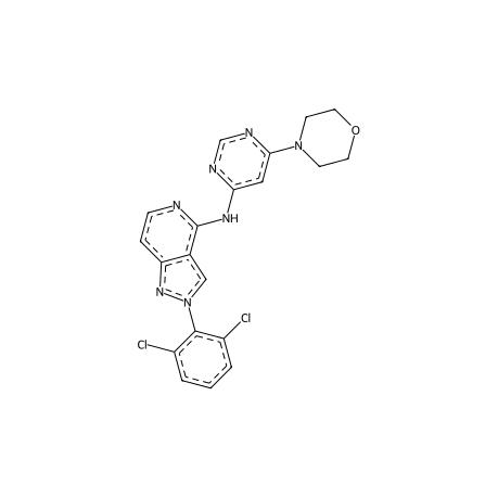 Clc1cccc(Cl)c1-n1cc2c(Nc3cc(N4CCOCC4)ncn3)nccc2n1